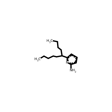 CCCCCC(CCCC)c1cccc(N)n1